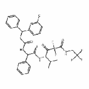 CC(C)[C@H](NC(=O)C(NC(=O)CC(c1ccccc1)c1cccc(Cl)c1)c1ccccc1)C(=O)C(F)(F)C(=O)NCC(F)(F)F